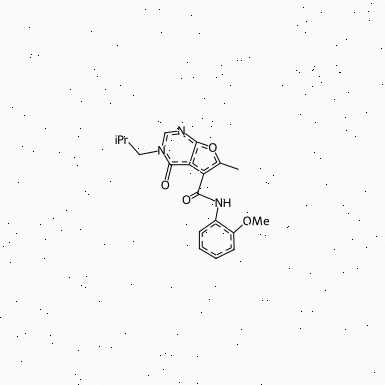 COc1ccccc1NC(=O)c1c(C)oc2ncn(CC(C)C)c(=O)c12